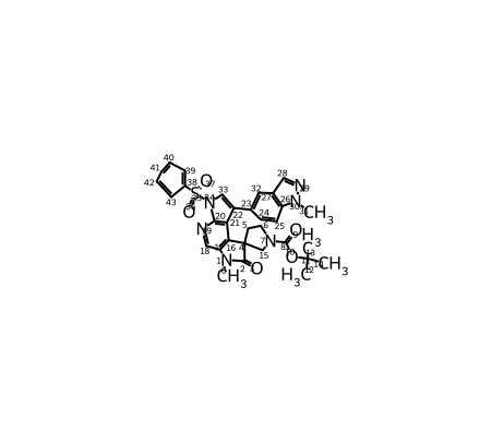 CN1C(=O)C2(CCN(C(=O)OC(C)(C)C)C2)c2c1cnc1c2c(-c2ccc3c(cnn3C)c2)cn1S(=O)(=O)c1ccccc1